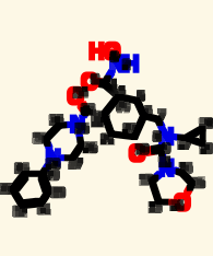 O=C(NO)[C@H]1CC(CN(C(=O)N2CCOCC2)C2CC2)CC[C@@H]1C(=O)N1CCN(c2ccccc2)CC1